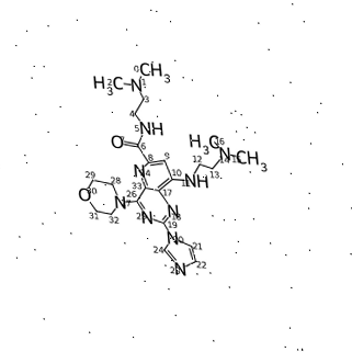 CN(C)CCNC(=O)c1cc(NCCN(C)C)c2nc(-n3ccnc3)nc(N3CCOCC3)c2n1